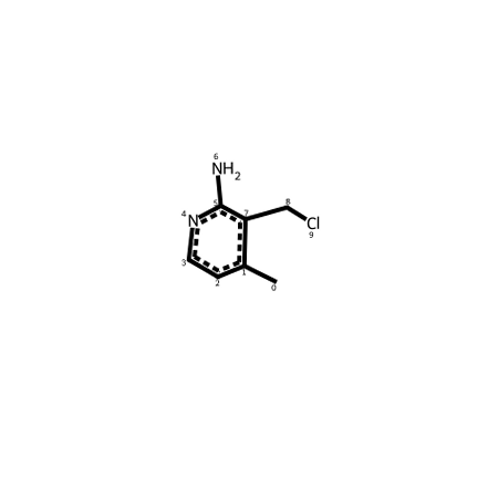 Cc1ccnc(N)c1CCl